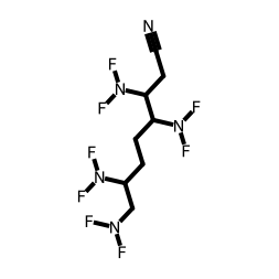 N#CCC(C(CCC(CN(F)F)N(F)F)N(F)F)N(F)F